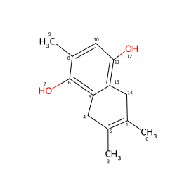 CC1=C(C)Cc2c(O)c(C)cc(O)c2C1